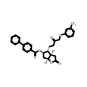 O=C(CC[C@@H]1[C@H]2CC(=O)O[C@H]2C[C@H]1OC(=O)c1ccc(-c2ccccc2)cc1)COc1cccc(C(F)(F)F)c1